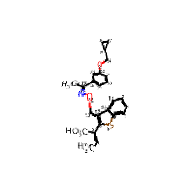 CC=C(C(=O)O)c1sc2ccccc2c1CON=C(C)c1cccc(OCC2CC2)c1